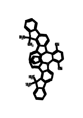 CC1(C)c2ccccc2-c2ccc3c(c21)c1ccccc1n3-c1c(C#N)ccc(C#N)c1-n1c2ccccc2c2c3c(ccc21)-c1ccccc1C3(C)C